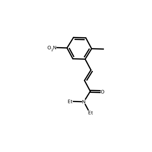 CCN(CC)C(=O)C=Cc1cc([N+](=O)[O-])ccc1C